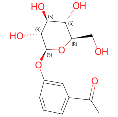 CC(=O)c1cccc(O[C@@H]2O[C@H](CO)[C@@H](O)[C@H](O)[C@H]2O)c1